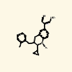 CN/C=C(\C=N)c1ccc2c(c1)CC(Cc1ccccc1C)C(C1CC1)N2C(C)=O